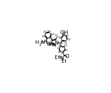 CCN(CC)C(=O)c1ccc(C(c2cccc(O)c2)n2nc(C)c(-c3ccccc3C(N)C(C)(C)C)c2C)cc1